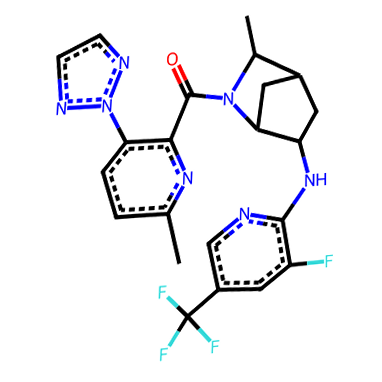 Cc1ccc(-n2nccn2)c(C(=O)N2C(C)C3CC(Nc4ncc(C(F)(F)F)cc4F)C2C3)n1